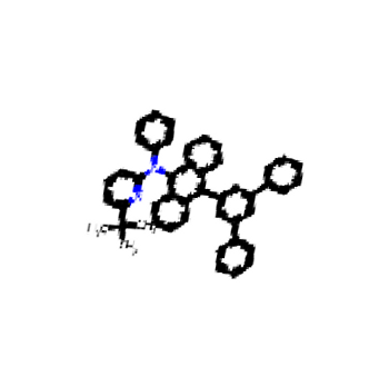 CC(C)(C)c1cccc(N(c2ccccc2)c2c3ccccc3c(-c3cc(-c4ccccc4)cc(-c4ccccc4)c3)c3ccccc23)n1